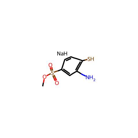 COS(=O)(=O)c1ccc(S)c(N)c1.[NaH]